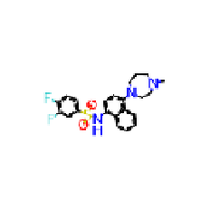 CN1CCCN(c2ccc(NS(=O)(=O)c3ccc(F)c(F)c3)c3ccccc23)CC1